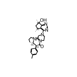 Cc1ccc([C@H](C(=O)N2CCN(c3ncnc4c3[C@H](C)C[C@@]4(C)O)CC2)[C@@H]2CCCN2)cc1